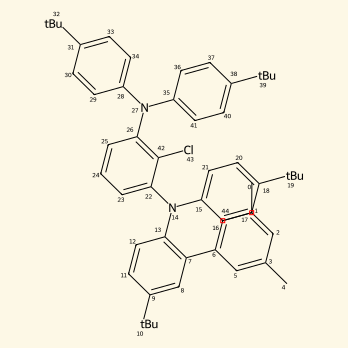 Cc1cc(C)cc(-c2cc(C(C)(C)C)ccc2N(c2ccc(C(C)(C)C)cc2)c2cccc(N(c3ccc(C(C)(C)C)cc3)c3ccc(C(C)(C)C)cc3)c2Cl)c1